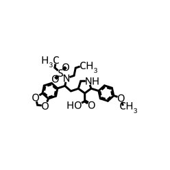 CCCN(C(CC1CNC(c2ccc(OC)cc2)C1C(=O)O)c1ccc2c(c1)OCO2)S(=O)(=O)CC